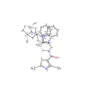 Cc1nc(C)c(C(=O)N2CCC(CCN3[C@@H]4CC[C@H]3CC(n3c(C)nc5ccccc53)C4)(c3ccccc3)CC2)s1